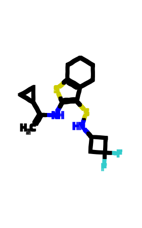 C=C(Nc1sc2c(c1SNC1CC(F)(F)C1)CCCC2)C1CC1